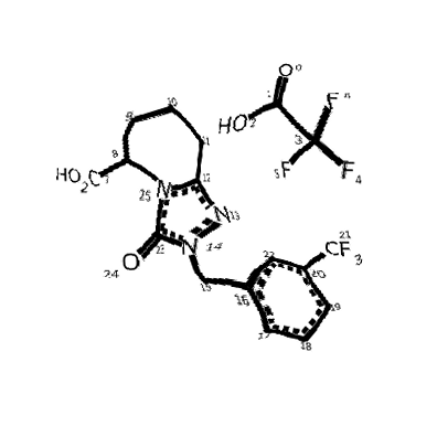 O=C(O)C(F)(F)F.O=C(O)C1CCCc2nn(Cc3cccc(C(F)(F)F)c3)c(=O)n21